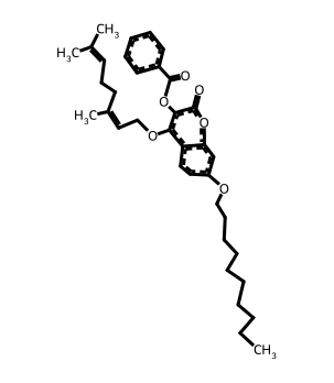 CCCCCCCCCCOc1ccc2c(OCC=C(C)CCC=C(C)C)c(OC(=O)c3ccccc3)c(=O)oc2c1